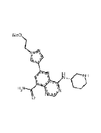 COCCn1cc(-c2cc(C(N)=O)c3ncnc(N[C@H]4CCCNC4)c3n2)cn1